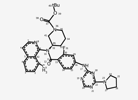 Cc1cccc2ccnc(N(C(=O)c3ccc(Nc4ncnc(N5CCCC5)n4)cc3F)[C@@H]3CCCN(C(=O)OC(C)(C)C)C3)c12